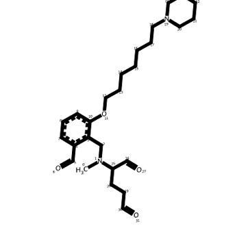 CN(Cc1c(C=O)cccc1OCCCCCCCN1CCCCC1)C(C=O)CCC=O